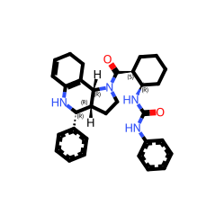 O=C(Nc1ccccc1)N[C@@H]1CCCC[C@@H]1C(=O)N1CC[C@@H]2[C@H](c3ccccc3)NC3=C(CCC=C3)[C@@H]21